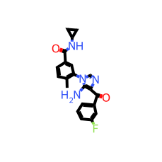 Cc1ccc(C(=O)NC2CC2)cc1-n1cnc(C(=O)c2cccc(F)c2)c1N